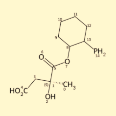 C[C@](O)(CC(=O)O)C(=O)OC1CCCCC1P